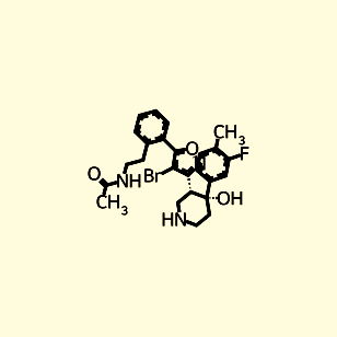 CC(=O)NCCc1ccccc1-c1onc([C@H]2CNCC[C@]2(O)c2ccc(C)c(F)c2)c1Br